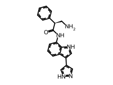 NC[C@@H](C(=O)Nc1cccc2c(-c3cn[nH]c3)c[nH]c12)c1ccccc1